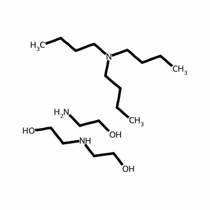 CCCCN(CCCC)CCCC.NCCO.OCCNCCO